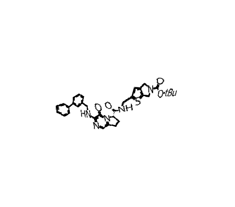 CC(C)(C)OC(=O)N1Cc2cc(CNC(=O)[C@@H]3CCc4cnc(NCc5cccc(-c6ccccc6)c5)c(=O)n43)sc2C1